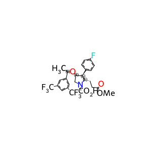 COC(=O)CC[C@H]1[C@H](c2ccc(F)cc2)[C@@H](O[C@H](C)c2cc(C(F)(F)F)cc(C(F)(F)F)c2)CN1C(=O)O